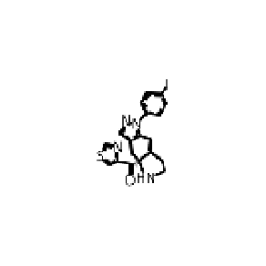 O=C(c1cscn1)[C@@]12CNCCC1=Cc1c(cnn1-c1ccc(I)cc1)C2